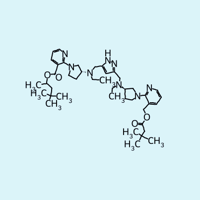 CCN(Cc1cc(CN(CC)[C@@H]2CCN(c3ncccc3C(=O)OC(C)CC(C)(C)C)C2)[nH]n1)[C@@H]1CCN(c2ncccc2COC(=O)CC(C)(C)C)C1